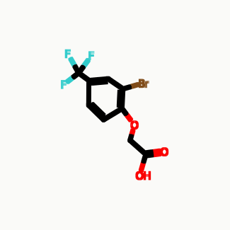 O=C(O)COc1ccc(C(F)(F)F)cc1Br